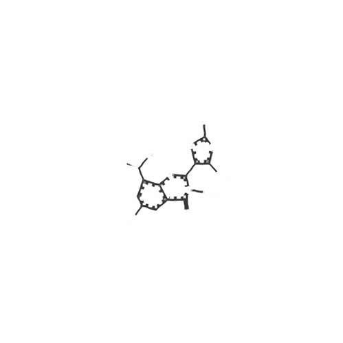 Cc1cc([C@@H](C)N)c2nc(-c3nc(C)oc3C)n(C)c(=O)c2c1